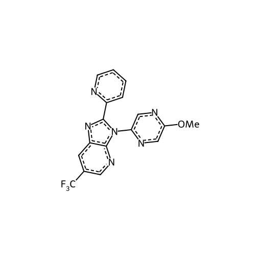 COc1cnc(-n2c(-c3ccccn3)nc3cc(C(F)(F)F)cnc32)cn1